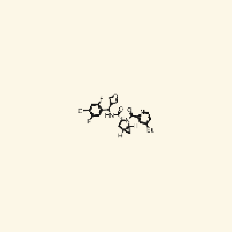 CCc1ccnc(C(=O)N2[C@@H](C(=O)NC(c3cc(F)c(Cl)cc3F)C3COC3)C[C@H]3C[C@H]32)c1